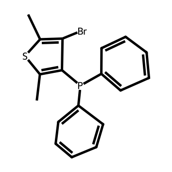 Cc1sc(C)c(P(c2ccccc2)c2ccccc2)c1Br